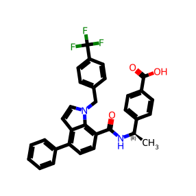 C[C@@H](NC(=O)c1ccc(-c2ccccc2)c2ccn(Cc3ccc(C(F)(F)F)cc3)c12)c1ccc(C(=O)O)cc1